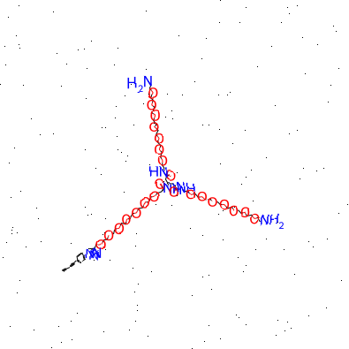 C#CC#Cc1ccc(-n2cc(COCCOCCOCCOCCOCCOCCOCCC(=O)NC(CC(=O)NCCOCCOCCOCCOCCOCCOCCOCCN)CC(=O)NCCOCCOCCOCCOCCOCCOCCOCCN)nn2)cc1